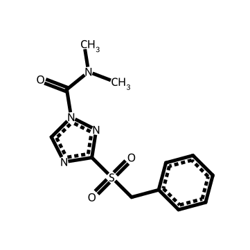 CN(C)C(=O)n1cnc(S(=O)(=O)Cc2ccccc2)n1